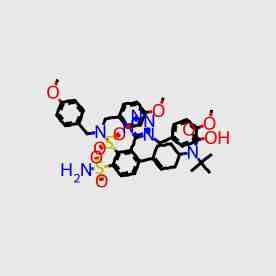 COc1ccc(CN(Cc2ccc(OC)cc2)S(=O)(=O)c2c(S(N)(=O)=O)ccc(C3=CCC(N(C(=O)O)C(C)(C)C)CC3)c2-c2nnnn2Cc2ccc(OC)cc2)cc1